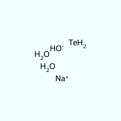 O.O.[Na+].[OH-].[TeH2]